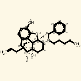 C=CCN1CC[C@]23c4c5ccc(O)c4O[C@H]2[C@H](N(CCCCC)Cc2ccccc2)CC[C@@]3(O)[C@H]1C5